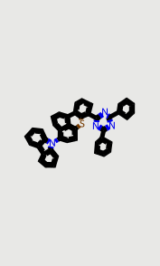 c1ccc(-c2nc(-c3ccccc3)nc(-c3cccc4c3Sc3ccc(-n5c6ccccc6c6ccccc65)c5cccc-4c35)n2)cc1